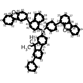 CC1(C)c2cc(-c3ccccc3)ccc2-c2ccc(N(c3ccc(-c4cccc5c4oc4ccccc45)cc3)c3ccc(-c4ccc5oc6ccccc6c5c4)c4ccccc34)cc21